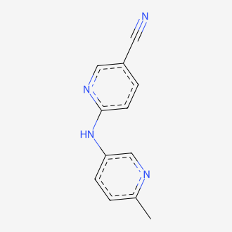 Cc1ccc(Nc2ccc(C#N)cn2)cn1